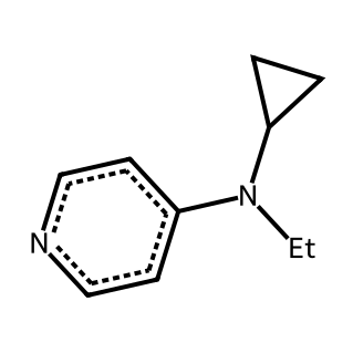 CCN(c1ccncc1)C1CC1